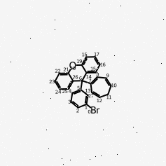 Brc1cccc(C2(C3=CC=CCC=C3)c3ccccc3Oc3ccccc32)c1